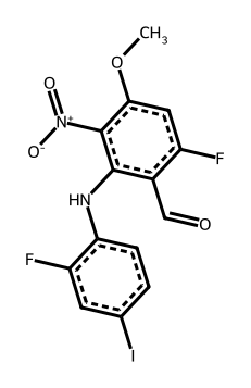 COc1cc(F)c(C=O)c(Nc2ccc(I)cc2F)c1[N+](=O)[O-]